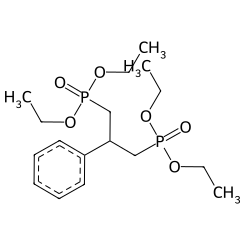 CCOP(=O)(CC(CP(=O)(OCC)OCC)c1ccccc1)OCC